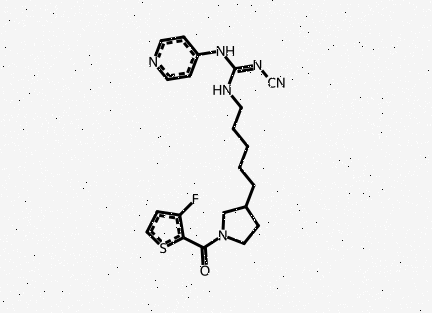 N#CN=C(NCCCCCC1CCN(C(=O)c2sccc2F)C1)Nc1ccncc1